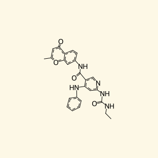 CCNC(=O)Nc1cc(Nc2ccccc2)c(C(=O)Nc2ccc3c(=O)cc(C)oc3c2)cn1